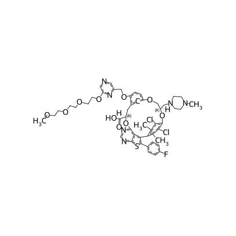 COCCOCCOCCOc1cncc(COc2ccc3cc2C[C@H](C(=O)O)Oc2ncnc4sc(-c5ccc(F)cc5)c(c24)-c2c(C)c(Cl)c(c(Cl)c2C)O[C@H](CN2CCN(C)CC2)CO3)n1